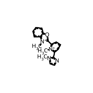 Cn1ccnc1-c1cccc(-c2oc3ccccc3[n+]2C)[n+]1C